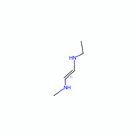 CCN/C=C/NC